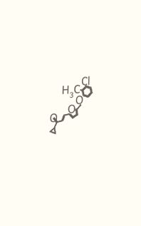 Cc1c(Cl)cccc1OCc1ccc(/C=C/C(=O)C2CC2)o1